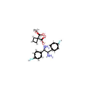 NC(c1ccc(F)cc1)C(N)c1ccc(F)cc1.O=C([O-])C1(C(=O)[O-])CCC1.[Pt+2]